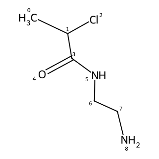 CC(Cl)C(=O)NCCN